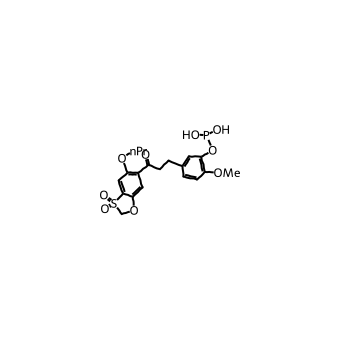 CCCOc1cc2c(cc1C(=O)CCc1ccc(OC)c(OP(O)O)c1)OCS2(=O)=O